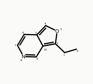 CCc1occ2ccncc12